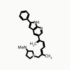 C=C(/C=C\C=C(/C)CN1CCC(NC)C1)c1cnc2[nH]c(-c3ccccc3)cc2c1